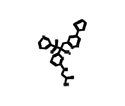 NC(Cc1cc(-c2ccccc2)cnn1)(c1cccc(NCC(=O)O)n1)S(=O)(=O)c1cccnc1